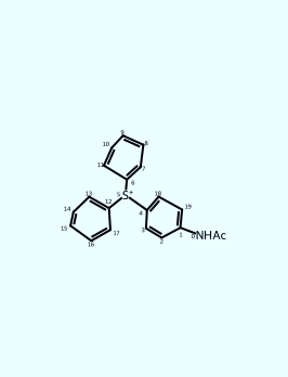 CC(=O)Nc1ccc([S+](c2ccccc2)c2ccccc2)cc1